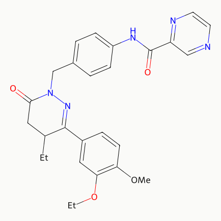 CCOc1cc(C2=NN(Cc3ccc(NC(=O)c4cnccn4)cc3)C(=O)CC2CC)ccc1OC